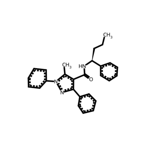 CCC[C@H](NC(=O)c1c(-c2ccccc2)nn(-c2ccccc2)c1C)c1ccccc1